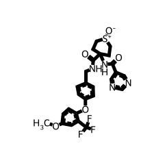 COc1ccc(Oc2ccc(CNC(=O)C3(NC(=O)c4cncnc4)CC[S+]([O-])CC3)cc2)c(C(F)(F)F)c1